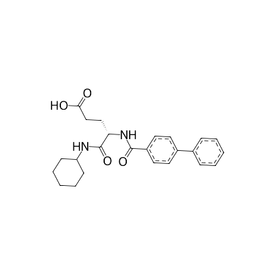 O=C(O)CC[C@H](NC(=O)c1ccc(-c2ccccc2)cc1)C(=O)NC1CCCCC1